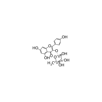 C[C@H]1O[C@H](Oc2c(-c3ccc(O)cc3)oc3cc(O)cc(O)c3c2=O)[C@H](O)[C@H](O)[C@H]1O